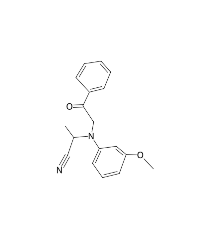 COc1cccc(N(CC(=O)c2ccccc2)C(C)C#N)c1